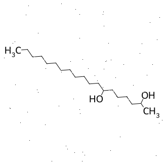 CCCCCCCCCCCCC(O)CCCCC(C)O